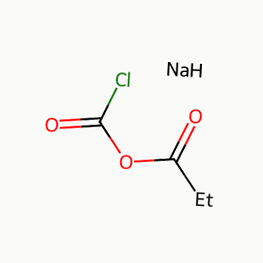 CCC(=O)OC(=O)Cl.[NaH]